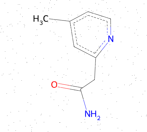 Cc1ccnc(CC(N)=O)c1